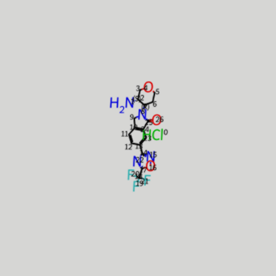 Cl.N[C@@H]1COCC[C@H]1N1Cc2ccc(-c3noc(C(F)(F)F)n3)cc2C1=O